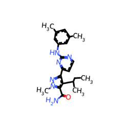 CCC(C)c1c(-c2ccnc(Nc3cc(C)cc(C)c3)n2)nn(C)c1C(N)=O